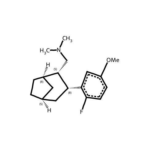 COc1ccc(F)c([C@@H]2C[C@H]3CC[C@H](C3)[C@@H]2CN(C)C)c1